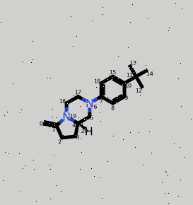 C=C1CC[C@H]2CN(c3ccc(C(C)(C)C)cc3)CCN12